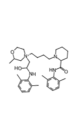 Cc1cccc(C)c1NC(=O)C1CCCCN1CCCC[N+]1(CC(O)Nc2c(C)cccc2C)CCOC(C)C1